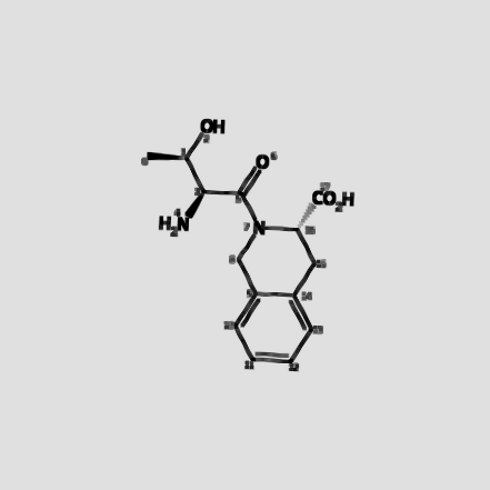 C[C@@H](O)[C@H](N)C(=O)N1Cc2ccccc2C[C@H]1C(=O)O